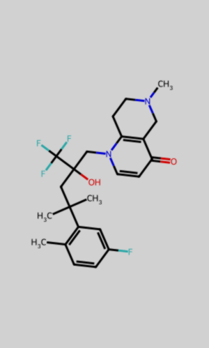 Cc1ccc(F)cc1C(C)(C)CC(O)(Cn1ccc(=O)c2c1CCN(C)C2)C(F)(F)F